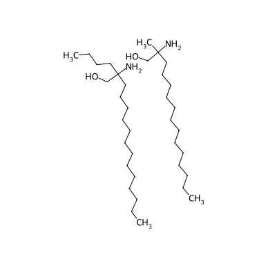 CCCCCCCCCCCCCC(C)(N)CO.CCCCCCCCCCCCCC(N)(CO)CCCC